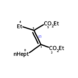 CCCCCCC/C(C(=O)OCC)=C(\CC)C(=O)OCC